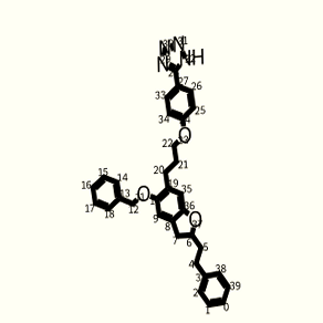 c1ccc(CCC2Cc3cc(OCc4ccccc4)c(CCCOc4ccc(-c5nnn[nH]5)cc4)cc3O2)cc1